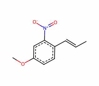 C/C=C/c1ccc(OC)cc1[N+](=O)[O-]